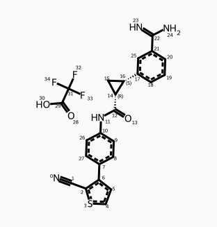 N#Cc1sccc1-c1ccc(NC(=O)[C@@H]2C[C@@H]2c2cccc(C(=N)N)c2)cc1.O=C(O)C(F)(F)F